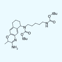 CC1Oc2cc3c(cc2N=C1N)C(N(CCCCCNC(=O)OC(C)(C)C)C(=O)OC(C)(C)C)CCC3